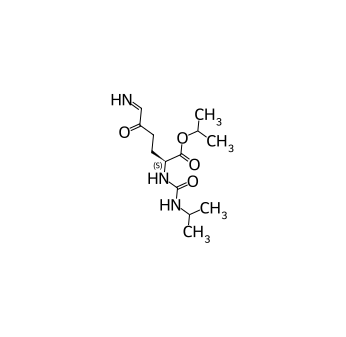 CC(C)NC(=O)N[C@@H](CCC(=O)C=N)C(=O)OC(C)C